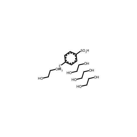 Cc1ccc(S(=O)(=O)O)cc1.OCCO.OCCO.OCCO.OCCO